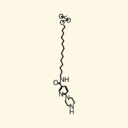 CS(=O)(=O)OCCCCCCCCCCCCCCNC(=O)c1ccc(N2CCNCC2)nc1